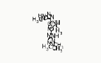 CC(NC(=O)c1ncnc2c1CN(C)N2)c1cc(-c2nc3cnc(C(C)(C)C)nc3[nH]2)no1